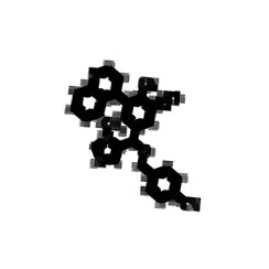 Cl.Cl.Cn1cncc1C(OCc1ccc(C#N)cc1)c1ccc(C#N)c(-c2ccnc3ccccc23)c1